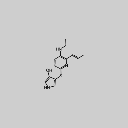 CC=Cc1nc(Sc2c[nH]cc2O)ncc1NCC